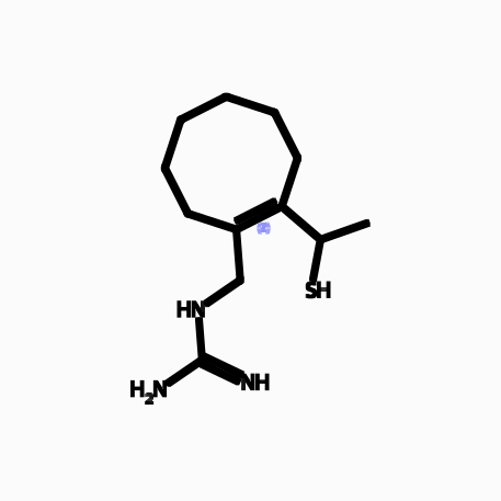 CC(S)/C1=C(\CNC(=N)N)CCCCCC1